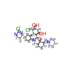 Cc1cnc(Cl)nc1-c1ccc(N(Cc2cccc(CN3CCCCC3)c2)C(=O)c2cc(Cl)c(O)cc2O)cc1